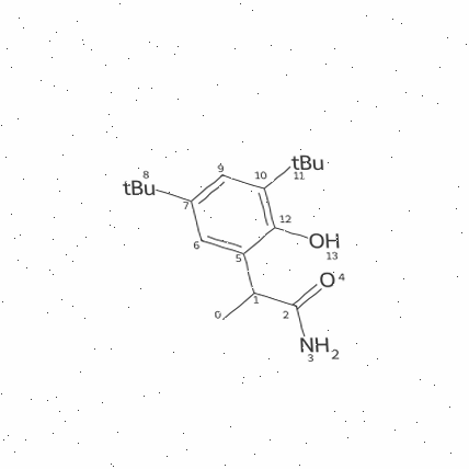 CC(C(N)=O)c1cc(C(C)(C)C)cc(C(C)(C)C)c1O